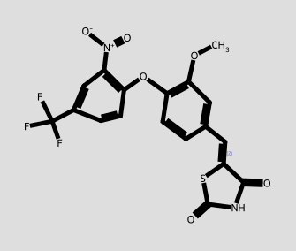 COc1cc(/C=C2\SC(=O)NC2=O)ccc1Oc1ccc(C(F)(F)F)cc1[N+](=O)[O-]